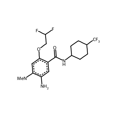 CNc1cc(OCC(F)F)c(C(=O)NC2CCC(C(F)(F)F)CC2)cc1N